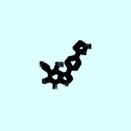 N#Cc1c(O)c2c(-c3ccc(-c4cc[nH]n4)cc3)csc2[nH]c1=O